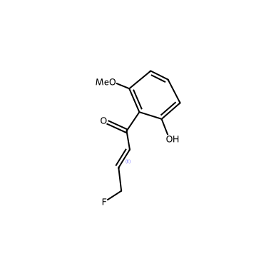 COc1cccc(O)c1C(=O)/C=C/CF